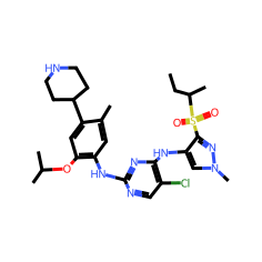 CCC(C)S(=O)(=O)c1nn(C)cc1Nc1nc(Nc2cc(C)c(C3CCNCC3)cc2OC(C)C)ncc1Cl